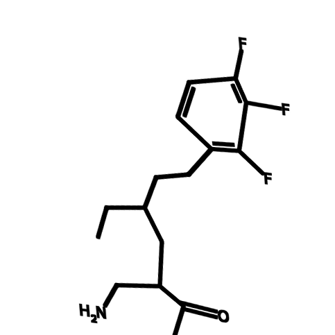 CCC(CCc1ccc(F)c(F)c1F)CC(CN)C(=O)O